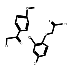 COc1ccc(C(=O)CCl)cc1.O=C(O)COc1ccc(Cl)cc1Cl